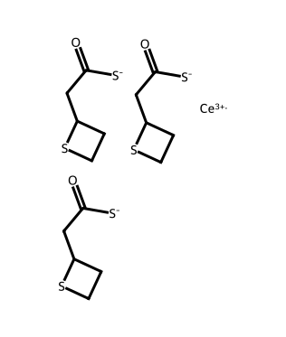 O=C([S-])CC1CCS1.O=C([S-])CC1CCS1.O=C([S-])CC1CCS1.[Ce+3]